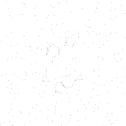 Cc1nc2cc(C(C)C)ccc2n1C1CC1CC(C)c1ccnc(-c2cnn(C(C)(C)C)c2)c1